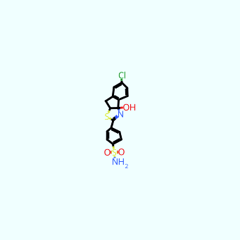 NS(=O)(=O)c1ccc(C2=NC3(O)c4ccc(Cl)cc4CC3S2)cc1